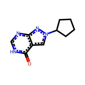 O=c1[nH]cnc2nn(C3CCCC3)cc12